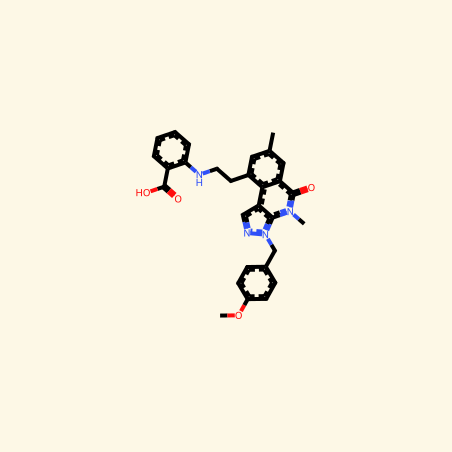 COc1ccc(Cn2ncc3c4c(CCNc5ccccc5C(=O)O)cc(C)cc4c(=O)n(C)c32)cc1